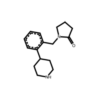 O=C1C[CH]CN1Cc1ccccc1C1CCNCC1